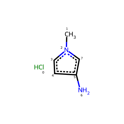 Cl.Cn1ccc(N)c1